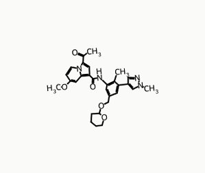 COc1ccn2c(C(C)=O)cc(C(=O)Nc3cc(COC4CCCCO4)cc(-c4cnn(C)c4)c3C)c2c1